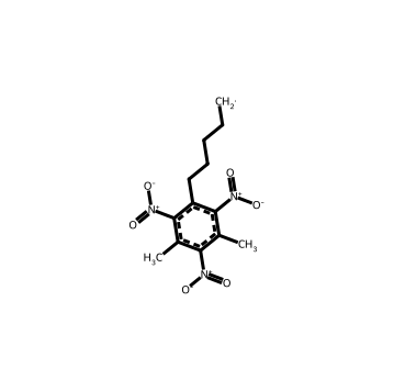 [CH2]CCCCc1c([N+](=O)[O-])c(C)c([N+](=O)[O-])c(C)c1[N+](=O)[O-]